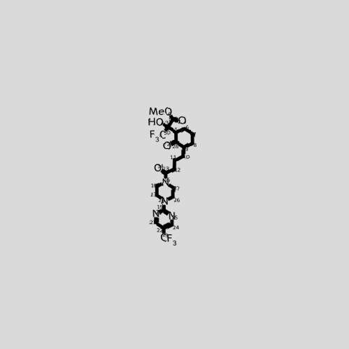 COC(=O)C(O)(C1CCCC(CCCC(=O)N2CCN(c3ncc(C(F)(F)F)cn3)CC2)C1=O)C(F)(F)F